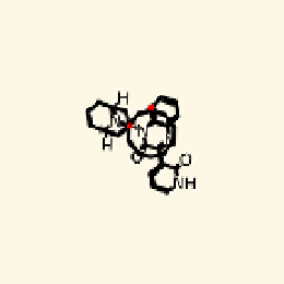 O=c1[nH]cccc1-c1nc2ccccc2n([C@@H]2C[C@H]3CCC[C@@H](C2)N3C2CCCCCCCCC2)c1=O